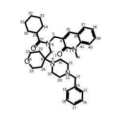 Cn1c(=O)c(CN(CC2(N3CCN(Cc4ccccc4)CC3)CCOCC2)C(=O)C2CCCCC2)cc2ccccc21